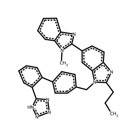 CCCc1nc2ccc(-c3nc4ccccc4n3C)cc2n1Cc1ccc(-c2ccccc2-c2nnn[nH]2)cc1